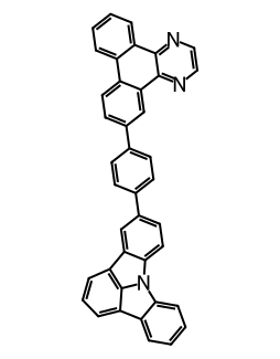 c1ccc2c(c1)c1ccc(-c3ccc(-c4ccc5c(c4)c4cccc6c7ccccc7n5c64)cc3)cc1c1nccnc21